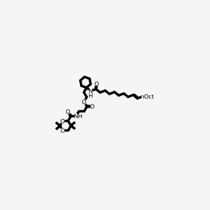 CCCCCCCCC=CCCCCCCCC(=O)NC1(CCOC(=O)CCNC(=O)C2OC(C)(C)OCC2(C)C)CCCCC1